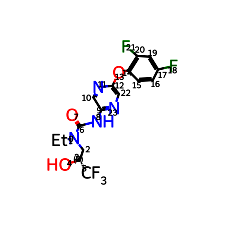 CCN(C[C@@H](O)C(F)(F)F)C(=O)Nc1cnc(Oc2ccc(F)cc2F)cn1